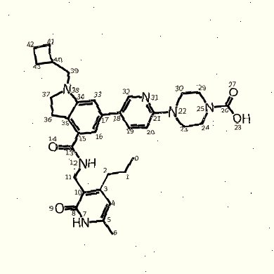 CCCc1cc(C)[nH]c(=O)c1CNC(=O)c1cc(-c2ccc(N3CCN(C(=O)O)CC3)nc2)cc2c1CCN2CC1CCC1